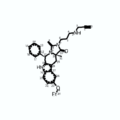 C#CCNCCCN1C(=C)N2[C@H](c3ccccc3)c3[nH]c4ccc(OCC)cc4c3C[C@@]2(C)C1=O